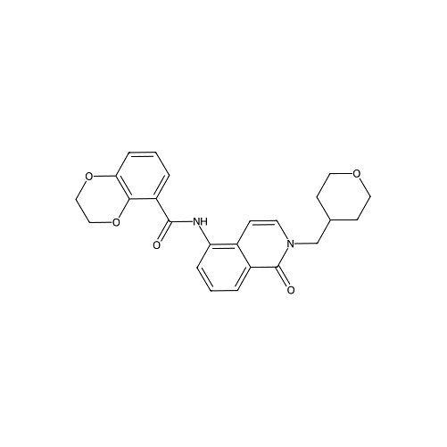 O=C(Nc1cccc2c(=O)n(CC3CCOCC3)ccc12)c1cccc2c1OCCO2